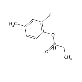 CC[PH](=O)Oc1ccc(C)cc1F